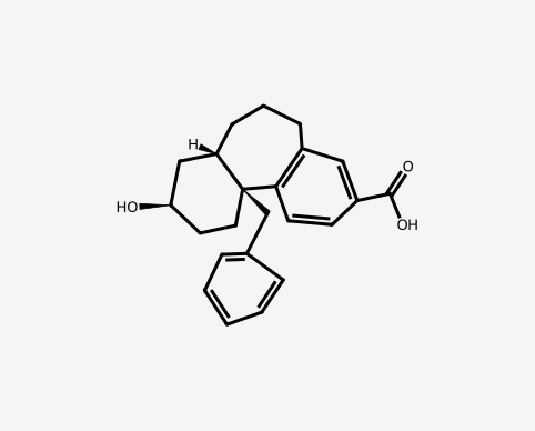 O=C(O)c1ccc2c(c1)CCC[C@H]1C[C@H](O)CC[C@@]21Cc1ccccc1